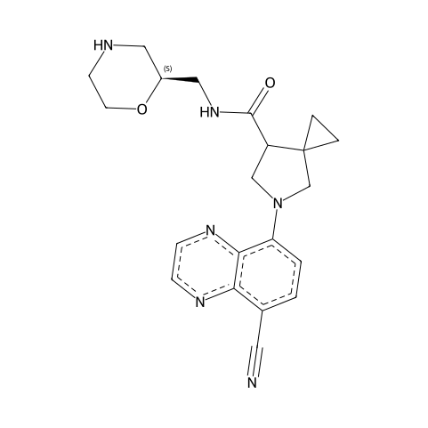 N#Cc1ccc(N2CC(C(=O)NC[C@@H]3CNCCO3)C3(CC3)C2)c2nccnc12